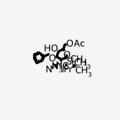 CC(=O)OCC1OC([Si](C)(C)C(C)(C)C(C)C)C(N=[N+]=[N-])C(OCc2ccccc2)[C@@H]1O